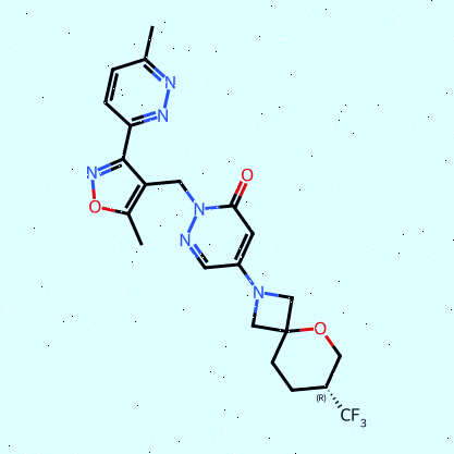 Cc1ccc(-c2noc(C)c2Cn2ncc(N3CC4(CC[C@@H](C(F)(F)F)CO4)C3)cc2=O)nn1